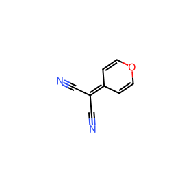 N#CC(C#N)=C1C=COC=C1